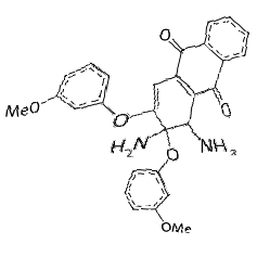 COc1cccc(OC2=CC3=C(C(=O)c4ccccc4C3=O)C(N)C2(N)Oc2cccc(OC)c2)c1